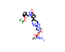 CC(C)C(N)C(=O)OCC(=O)N1CCN(c2ncc(-c3ccc4c(=O)n(C)n(Cc5ccccc5OC(F)F)c4c3)cn2)CC1C